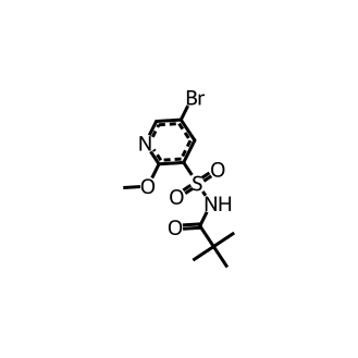 COc1ncc(Br)cc1S(=O)(=O)NC(=O)C(C)(C)C